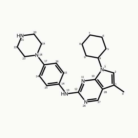 Cc1cn(C2CCCCC2)c2nc(Nc3ccc(N4CCNCC4)cc3)ncc12